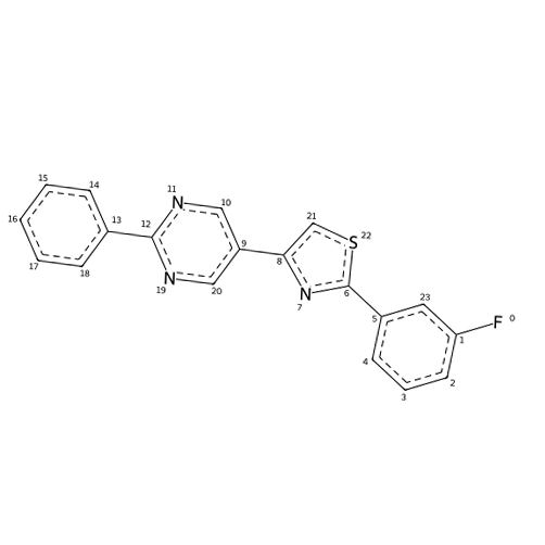 Fc1cccc(-c2nc(-c3cnc(-c4ccccc4)nc3)cs2)c1